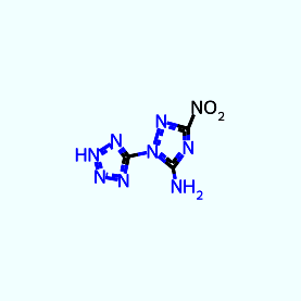 Nc1nc([N+](=O)[O-])nn1-c1nn[nH]n1